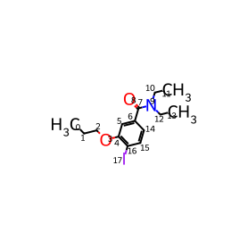 CCCOc1cc(C(=O)N(CC)CC)ccc1I